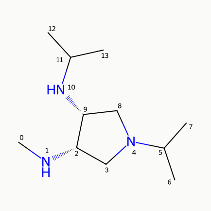 CN[C@H]1CN(C(C)C)C[C@H]1NC(C)C